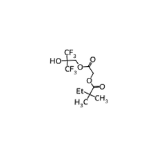 CCC(C)(C)C(=O)OCC(=O)OCC(O)(C(F)(F)F)C(F)(F)F